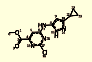 COC(=O)c1cc(Nc2cc(C3CC3)n[nH]2)nc(Cl)n1